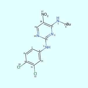 CCCCNc1nc(Nc2ccc(Cl)c(Cl)c2)ncc1[N+](=O)[O-]